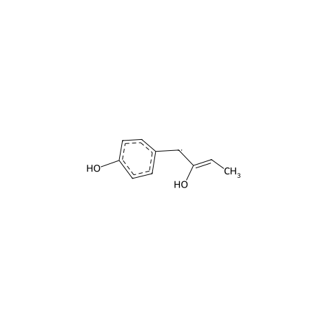 CC=C(O)[CH]c1ccc(O)cc1